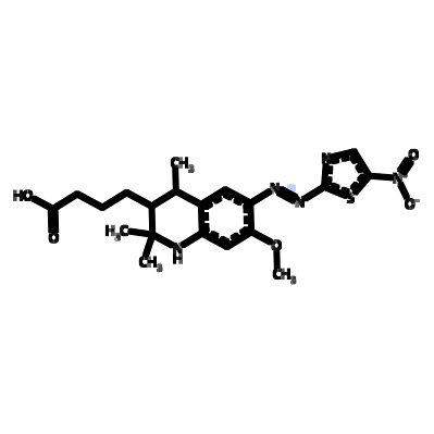 COc1cc2c(cc1/N=N/c1ncc([N+](=O)[O-])s1)C(C)C(CCCC(=O)O)C(C)(C)N2